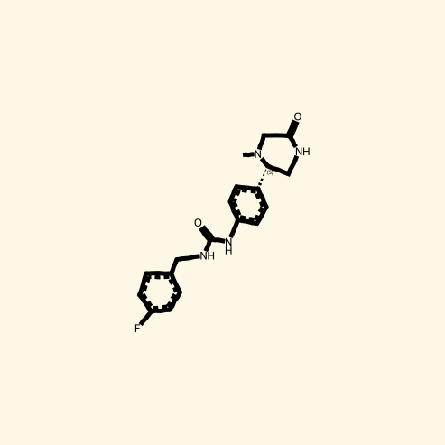 CN1CC(=O)NC[C@@H]1c1ccc(NC(=O)NCc2ccc(F)cc2)cc1